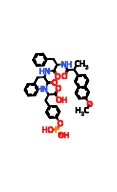 COc1ccc2cc([C@H](C)C(=O)N[C@H](Cc3ccccc3)C(=O)N[C@H](Cc3ccccc3)C(=O)N[C@H](Cc3ccc(OP(O)O)cc3)C(=O)O)ccc2c1